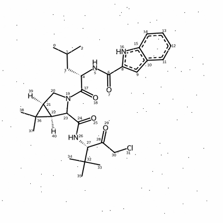 CC(C)C[C@H](NC(=O)c1cc2ccccc2[nH]1)C(=O)N1C[C@H]2[C@@H](C1C(=O)N[C@H](C(=O)CCl)C(C)(C)C)C2(C)C